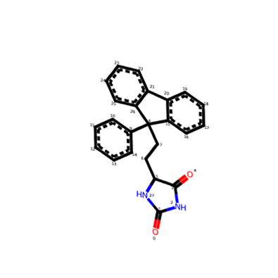 O=C1NC(=O)C(CCC2(c3ccccc3)c3ccccc3-c3ccccc32)N1